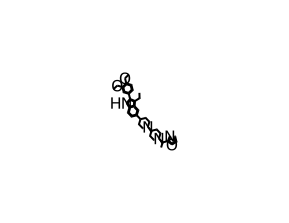 CCc1c(-c2ccc(OC)c(OC)c2)[nH]c2ccc(C3CCN(C4CCN(C(C)c5ncco5)CC4)CC3)cc12